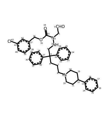 O=CCN(NCC(CCCN1CCC(c2ccccc2)CC1)(c1ccccc1)c1ccccc1)C(=O)OCc1cccc(Cl)c1